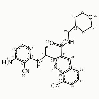 CC(Nc1ncnc(N)c1C#N)c1nc2c(Cl)cccc2cc1C(=O)NCC1CCOCC1